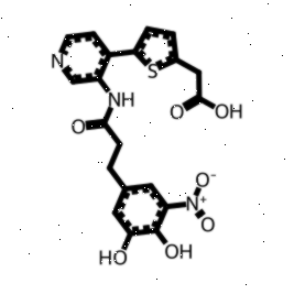 O=C(O)Cc1ccc(-c2ccncc2NC(=O)CCc2cc(O)c(O)c([N+](=O)[O-])c2)s1